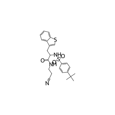 CC(C)(C)c1ccc(S(=O)(=O)NC(Cc2csc3ccccc23)C(=O)NCCC#N)cc1